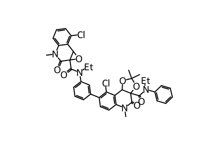 CCN(C(=O)C12OC1c1c(Cl)cccc1N(C)C2=O)c1cccc(-c2ccc3c(c2Cl)C2OC(C)(C)OC2(C(=O)N(CC)c2ccccc2)C(=O)N3C)c1